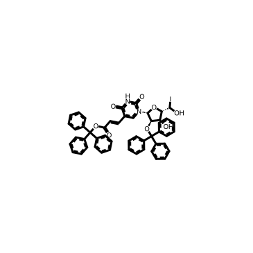 O=C(C=Cc1cn([C@@H]2O[C@H](C(O)I)[C@@H](O)[C@H]2OC(c2ccccc2)(c2ccccc2)c2ccccc2)c(=O)[nH]c1=O)OC(c1ccccc1)(c1ccccc1)c1ccccc1